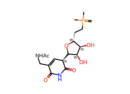 C=P(C)(C)CC[C@H]1OC([C@@H]2C=C(CNC(C)=O)C(=O)NC2=O)[C@H](O)[C@@H]1O